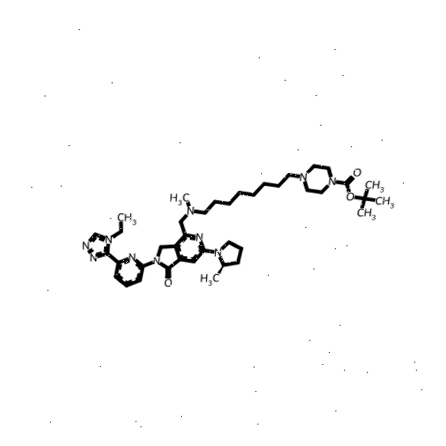 CCn1cnnc1-c1cccc(N2Cc3c(cc(N4CCC[C@H]4C)nc3CN(C)CCCCCCCCN3CCN(C(=O)OC(C)(C)C)CC3)C2=O)n1